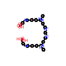 O=P(O)(O)Cc1ccc(C[n+]2ccc(-c3ccc(-c4ccc(-c5cc(-c6ccc(-c7cc[n+](Cc8cccc(C[n+]9ccc(-c%10ccc(-c%11cc(-c%12ccc(-c%13ccc(-c%14cc[n+](Cc%15ccc(CP(=O)(O)O)cc%15)cc%14)cc%13)cc%12)nc(-c%12ccccc%12)n%11)cc%10)cc9)c8)cc7)cc6)nc(-c6ccccc6)n5)cc4)cc3)cc2)cc1